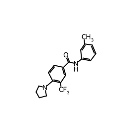 Cc1cccc(NC(=O)c2ccc(N3CCCC3)c(C(F)(F)F)c2)c1